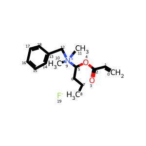 C=CC(=O)OC(CCC)[N+](C)(C)Cc1ccccc1.[F-]